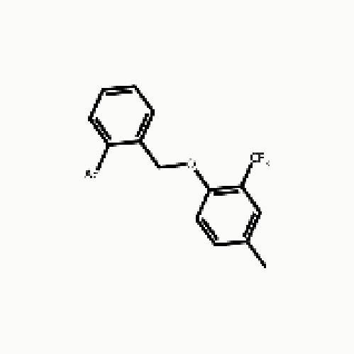 CC(=O)c1ccccc1COc1ccc(C)cc1C(F)(F)F